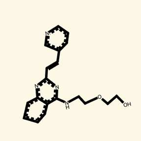 OCCOCCNc1nc(C=Cc2cccnc2)nc2ccccc12